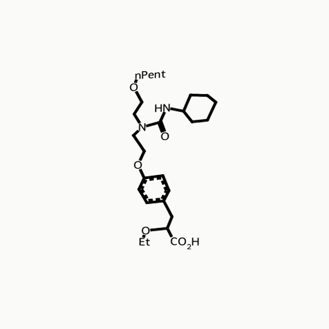 CCCCCOCCN(CCOc1ccc(CC(OCC)C(=O)O)cc1)C(=O)NC1CCCCC1